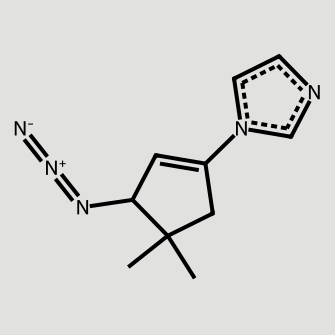 CC1(C)CC(n2ccnc2)=CC1N=[N+]=[N-]